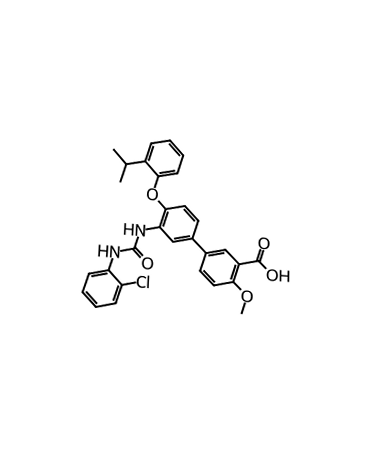 COc1ccc(-c2ccc(Oc3ccccc3C(C)C)c(NC(=O)Nc3ccccc3Cl)c2)cc1C(=O)O